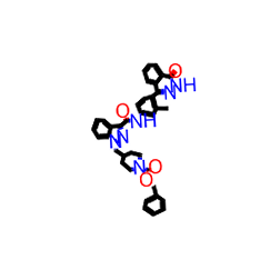 Cc1cc(NC(=O)c2nn(CC3CCN(C(=O)OCc4ccccc4)CC3)c3ccccc23)ccc1-c1n[nH]c(=O)c2ccccc12